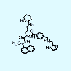 C[C@H](NC(=O)[C@H](CCCNC1=NCCCN1)NC(=O)c1ccc(CNCc2ncc[nH]2)cc1)c1cccc2ccccc12